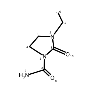 [CH2]CN1CCN(C(N)=O)C1=O